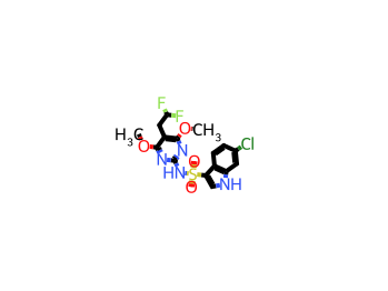 COc1nc(NS(=O)(=O)c2c[nH]c3cc(Cl)ccc23)nc(OC)c1CC(F)F